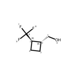 OC[C@@H]1CC[C@H]1C(F)(F)F